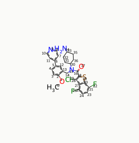 COc1ccc(-c2ccncc2)cc1CN(C(=O)c1sc2c(F)ccc(F)c2c1Cl)C1CCC(N)CC1